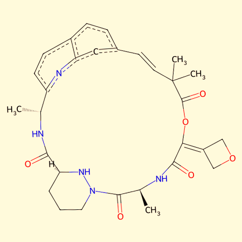 C[C@@H]1NC(=O)C(=C2COC2)OC(=O)C(C)(C)/C=C/c2ccc3ccc(nc3c2)[C@@H](C)NC(=O)[C@@H]2CCCN(N2)C1=O